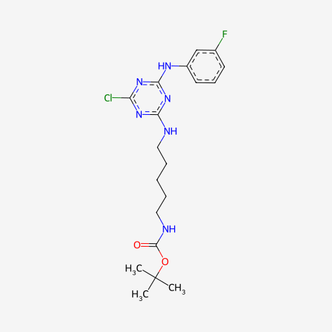 CC(C)(C)OC(=O)NCCCCCNc1nc(Cl)nc(Nc2cccc(F)c2)n1